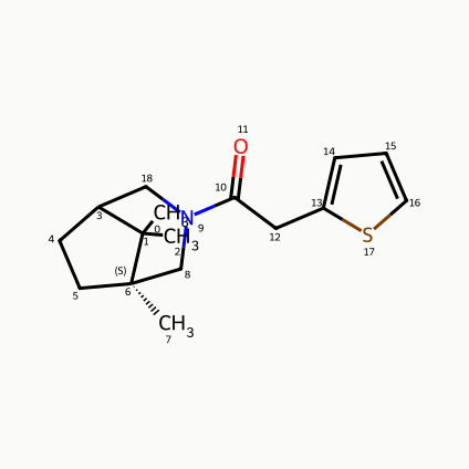 CC1(C)C2CC[C@]1(C)CN(C(=O)Cc1cccs1)C2